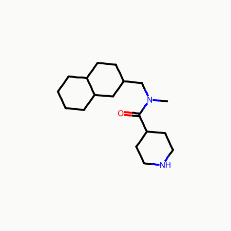 CN(CC1CCC2CCCCC2C1)C(=O)C1CCNCC1